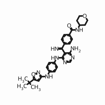 CC(C)(C)c1cc(Nc2ccc(Nc3ncnc(N)c3C(=N)c3ccc(C(=O)NC4CCOCC4)cc3)cc2)no1